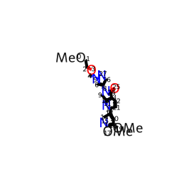 COCCOCn1cc(N2Cc3nc(-c4cnc(OC)c(OC)c4)ccc3C2=O)cn1